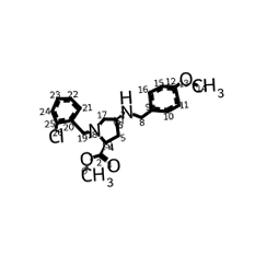 COC(=O)[C@@H]1C[C@H](NCc2ccc(OC)cc2)CN1Cc1ccccc1Cl